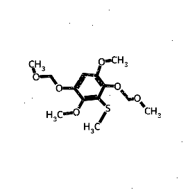 COCOc1cc(OC)c(OCOC)c(SC)c1OC